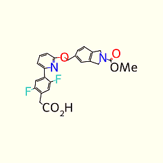 COC(=O)N1Cc2ccc(COc3cccc(-c4cc(F)c(CC(=O)O)cc4F)n3)cc2C1